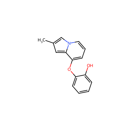 Cc1cc2c(Oc3ccccc3O)cccn2c1